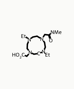 CCN1CCN(CC(=O)O)CCN(CC)CCN(CC(=O)NC)CC1